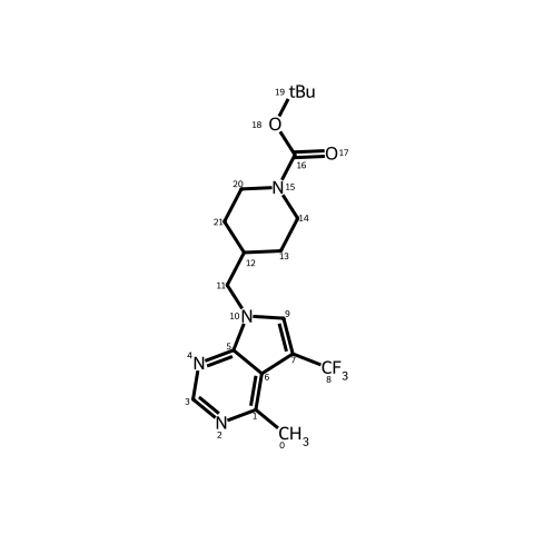 Cc1ncnc2c1c(C(F)(F)F)cn2CC1CCN(C(=O)OC(C)(C)C)CC1